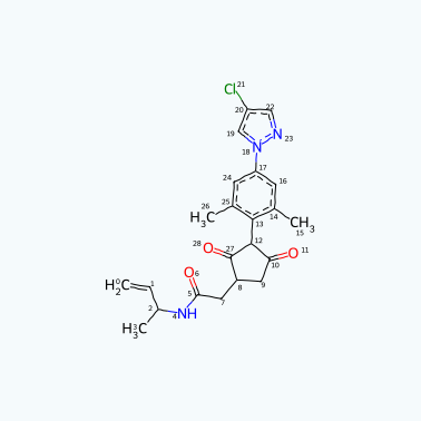 C=CC(C)NC(=O)CC1CC(=O)C(c2c(C)cc(-n3cc(Cl)cn3)cc2C)C1=O